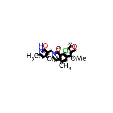 COc1cc(C)[nH]c(=O)c1CN1CCc2c(C)cc([C@H](OC)[C@H]3CCOC3)c(Cl)c2C1=O